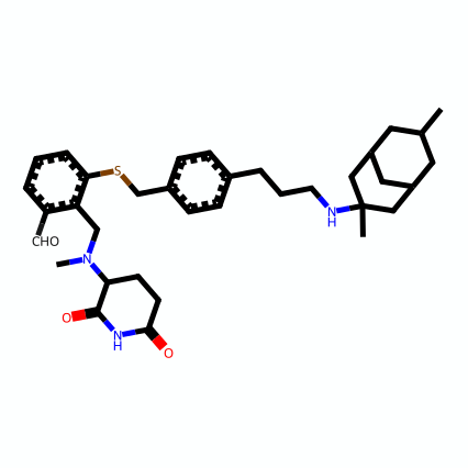 CC1CC2CC(C1)CC(C)(NCCCc1ccc(CSc3cccc(C=O)c3CN(C)C3CCC(=O)NC3=O)cc1)C2